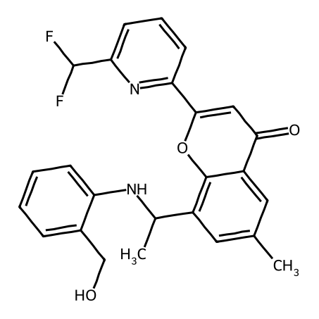 Cc1cc(C(C)Nc2ccccc2CO)c2oc(-c3cccc(C(F)F)n3)cc(=O)c2c1